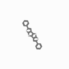 c1ccc(-c2cc3c(s2)sc2c4cc(-c5ccccc5)sc4sc32)cc1